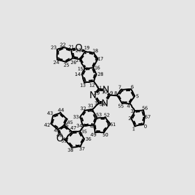 c1ccc(-c2cccc(-c3nc(-c4ccc5c(ccc6oc7ccccc7c65)c4)nc(-c4ccc(-c5cccc6oc7ccccc7c56)c5ccccc45)n3)c2)cc1